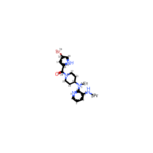 CCN(c1ncccc1NC(C)C)C1CCN(C(=O)c2cc(Br)c[nH]2)CC1